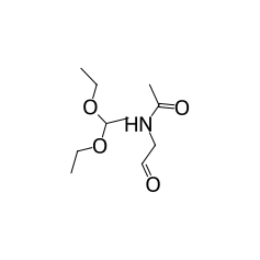 CC(=O)NCC=O.CCOC(C)OCC